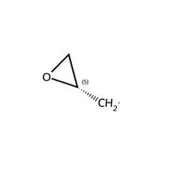 [CH2][C@H]1CO1